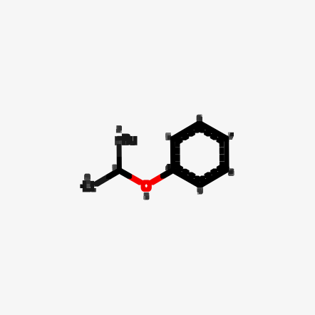 C[CH]C(CCCC)Oc1ccccc1